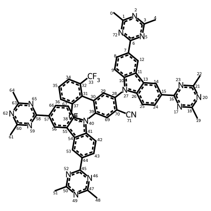 Cc1nc(C)nc(-c2ccc3c(c2)c2cc(-c4nc(C)nc(C)n4)ccc2n3-c2cc(-c3c(C(F)(F)F)cccc3C(F)(F)F)c(-n3c4ccc(-c5nc(C)nc(C)n5)cc4c4cc(-c5nc(C)nc(C)n5)ccc43)cc2C#N)n1